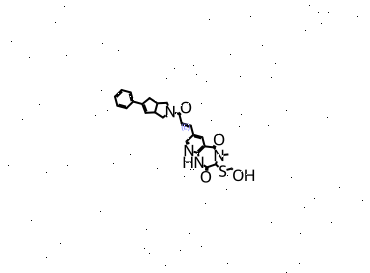 CN1C(=O)c2cc(/C=C/C(=O)N3CC4C=C(c5ccccc5)CC4C3)cnc2NC(=O)C1SCO